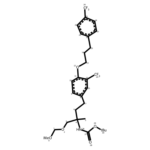 COCOCC(C)(CCc1ccc(OCCCc2ccc(C(F)(F)F)cc2)c(C(F)(F)F)c1)NC(=O)OC(C)(C)C